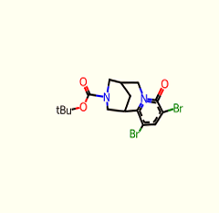 CC(C)(C)OC(=O)N1CC2CC(C1)c1c(Br)cc(Br)c(=O)n1C2